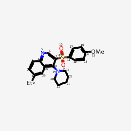 CCc1ccc2ncc(S(=O)(=O)c3ccc(OC)cc3)c(N3CCCCC3)c2c1